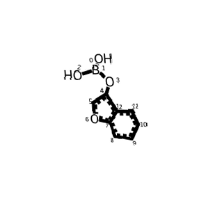 OB(O)Oc1coc2ccccc12